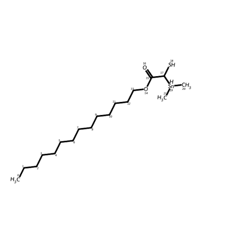 CCCCCCCCCCCCCCOC(=O)[CH](S)[SnH]([CH3])[CH3]